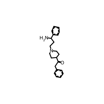 NC(CCN1CCC(C(=O)Cc2ccccc2)CC1)c1ccccc1